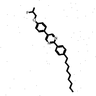 CCCCCCCCCc1ccc(-c2ncc(-c3ccc(OCC(C)F)cc3)cn2)cc1